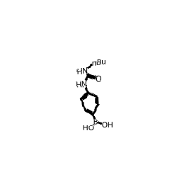 CCCCNC(=O)Nc1ccc(B(O)O)cc1